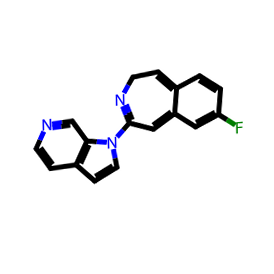 Fc1ccc2c(c1)=CC(n1ccc3ccncc31)=NCC=2